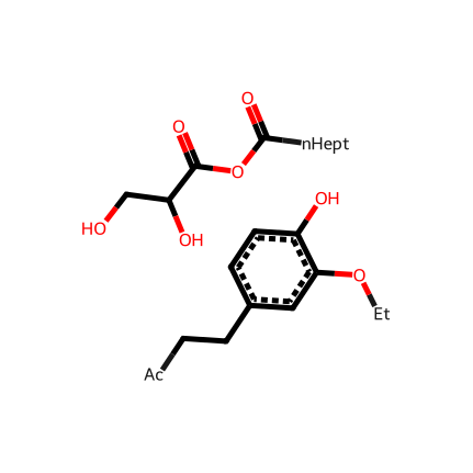 CCCCCCCC(=O)OC(=O)C(O)CO.CCOc1cc(CCC(C)=O)ccc1O